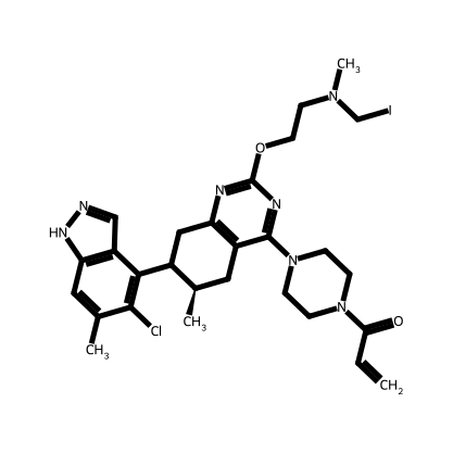 C=CC(=O)N1CCN(c2nc(OCCN(C)CI)nc3c2C[C@@H](C)C(c2c(Cl)c(C)cc4[nH]ncc24)C3)CC1